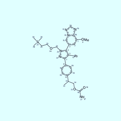 COc1cc(-c2c(C(C)C)c(-c3ccc(C(C)COC(N)=O)cc3)nn2COCC[Si](C)(C)C)cn2ncnc12